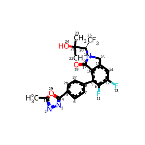 Cc1nnc(-c2ccc(-c3c(F)c(F)cc4c3C(=O)N([C@H](C(C)(C)O)C(F)(F)F)C4)cc2)o1